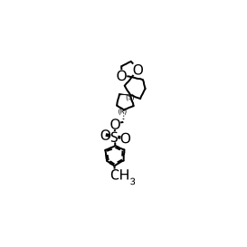 Cc1ccc(S(=O)(=O)OC[C@@H]2CC[C@@]3(CCCC4(C3)OCCO4)C2)cc1